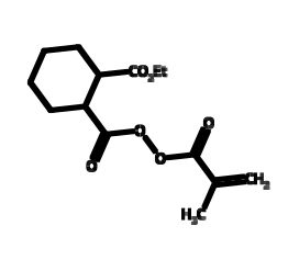 C=C(C)C(=O)OOC(=O)C1CCCCC1C(=O)OCC